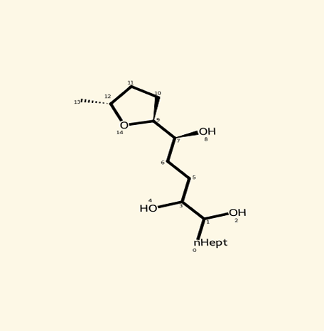 CCCCCCCC(O)C(O)CC[C@H](O)[C@@H]1CC[C@@H](C)O1